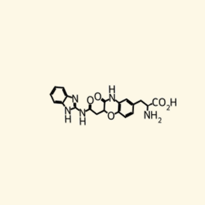 N[C@@H](Cc1ccc2c(c1)NC(=O)C(CC(=O)Nc1nc3ccccc3[nH]1)O2)C(=O)O